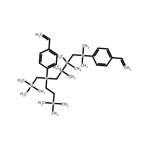 C=Cc1ccc([Si](C)(C)C[Si](C)(C)[Si](C)(C)C[Si](CC[Si](C)(C)C)(C[Si](C)(C)C)c2ccc(C=C)cc2)cc1